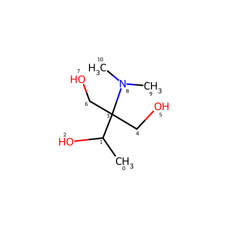 CC(O)C(CO)(CO)N(C)C